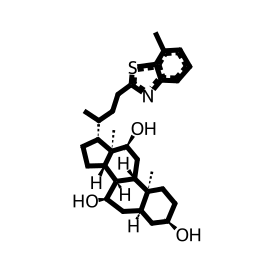 Cc1cccc2nc(CCC(C)[C@H]3CC[C@H]4[C@@H]5[C@H](O)C[C@@H]6C[C@H](O)CC[C@]6(C)[C@H]5C[C@H](O)[C@]34C)sc12